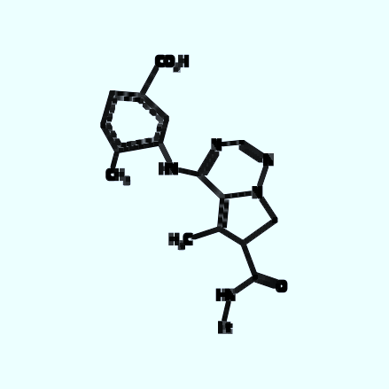 CCNC(=O)C1CN2N=CN=C(Nc3cc(C(=O)O)ccc3C)C2=C1C